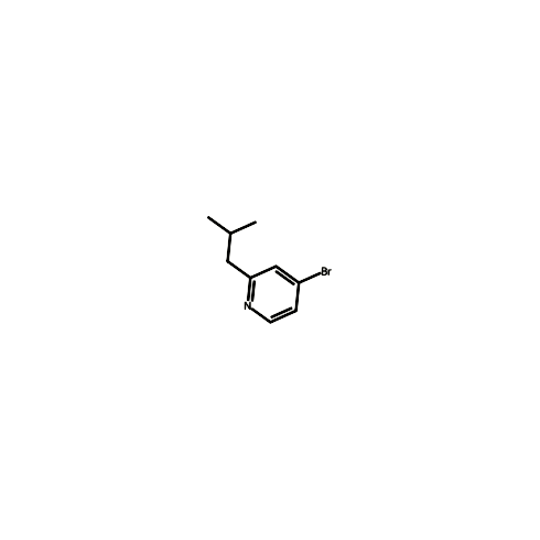 CC(C)Cc1cc(Br)ccn1